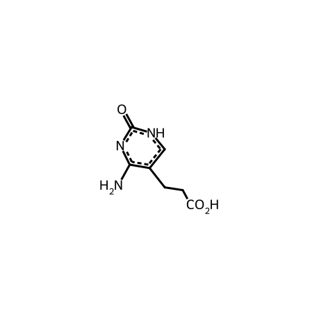 Nc1nc(=O)[nH]cc1CCC(=O)O